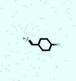 C=CC1CCC(Cl)CC1